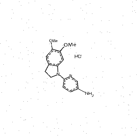 COc1cc2c(cc1OC)N(c1ccc(N)cn1)CC2.Cl